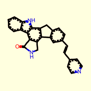 O=C1NCc2c3c(c4[nH]c5ccccc5c4c21)Cc1ccc(C=Cc2ccncc2)cc1-3